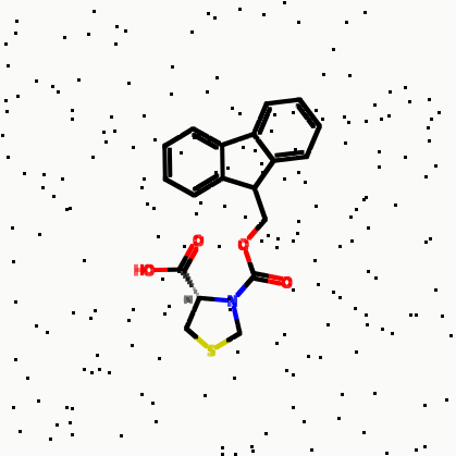 O=C(O)[C@H]1CSCN1C(=O)OCC1c2ccccc2-c2ccccc21